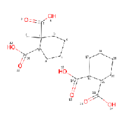 CC1(C(=O)O)CCCCC1C(=O)O.O=C(O)C1CCCCC1C(=O)O